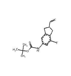 CC(C)(C)OC(=O)Nc1cc(F)c2c(c1)CC(C=O)C2